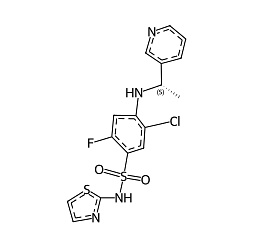 C[C@H](Nc1cc(F)c(S(=O)(=O)Nc2nccs2)cc1Cl)c1cccnc1